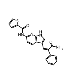 NC(=O)C(=Cc1c[nH]c2nc(NC(=O)c3cccs3)ccc12)c1ccccc1